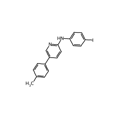 Cc1ccc(-c2ccc(Nc3ccc(I)cc3)nc2)cc1